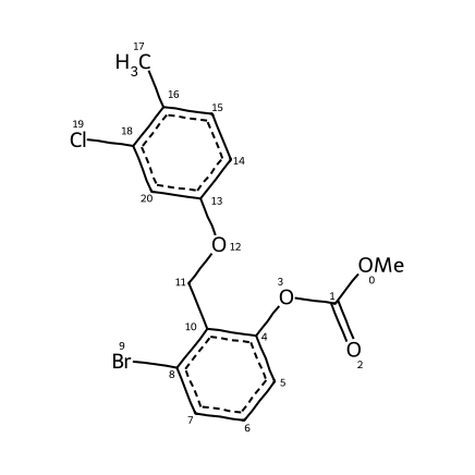 COC(=O)Oc1cccc(Br)c1COc1ccc(C)c(Cl)c1